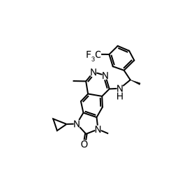 Cc1nnc(N[C@H](C)c2cccc(C(F)(F)F)c2)c2cc3c(cc12)n(C1CC1)c(=O)n3C